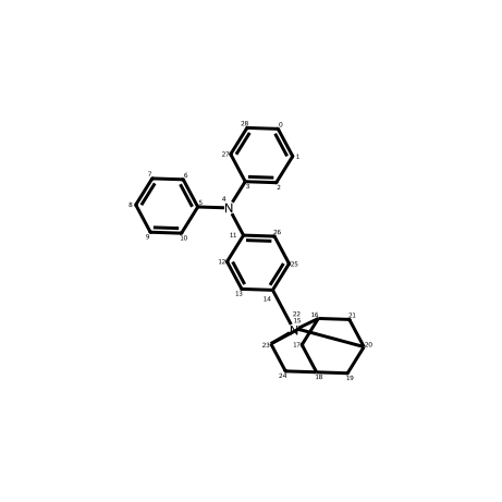 c1ccc(N(c2ccccc2)c2ccc(N3C4CC5CC(C4)CC3C5)cc2)cc1